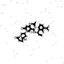 C=C[C@@H](Nc1nc(C)nc2cc(=O)n([C@H]3C[C@@H]4CCC(=O)N4C3)cc12)c1cccc(C(F)F)c1F